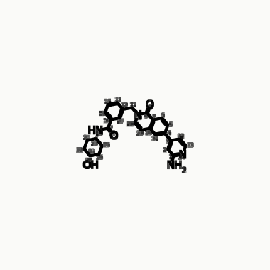 Nc1cc(-c2ccc3c(=O)n(Cc4cccc(C(=O)N[C@H]5CC[C@@H](O)CC5)c4)ccc3c2)ccn1